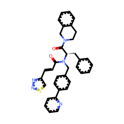 O=C([C@H](Cc1ccccc1)N(Cc1ccc(-c2ccccn2)cc1)C(=O)/C=C/c1csnn1)N1CCc2ccccc2C1